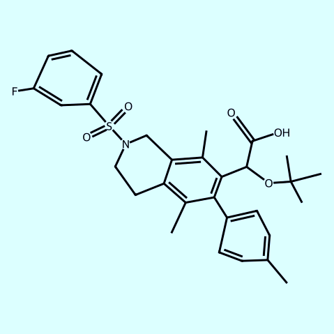 Cc1ccc(-c2c(C)c3c(c(C)c2C(OC(C)(C)C)C(=O)O)CN(S(=O)(=O)c2cccc(F)c2)CC3)cc1